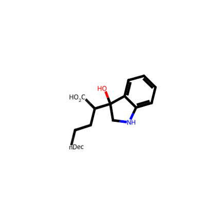 CCCCCCCCCCCCC(C(=O)O)C1(O)CNc2ccccc21